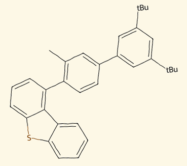 Cc1cc(-c2cc(C(C)(C)C)cc(C(C)(C)C)c2)ccc1-c1cccc2sc3ccccc3c12